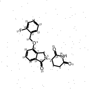 O=C1CC[C@H](N2Cc3c(OCc4ccccc4F)cccc3C2=O)C(=O)N1